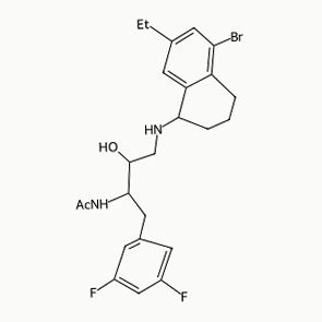 CCc1cc(Br)c2c(c1)C(NCC(O)C(Cc1cc(F)cc(F)c1)NC(C)=O)CCC2